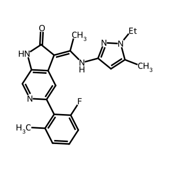 CCn1nc(NC(C)=C2C(=O)Nc3cnc(-c4c(C)cccc4F)cc32)cc1C